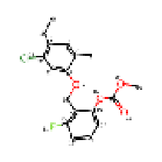 CCc1cc(C)c(OCc2c(F)cccc2OC(=O)OC)cc1Cl